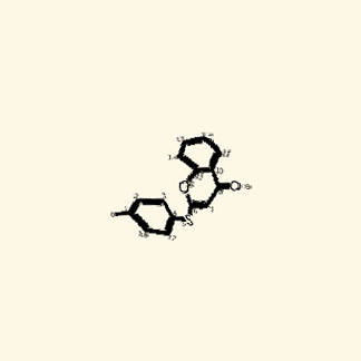 Cc1ccc(Sc2cc(=O)c3ccccc3o2)cc1